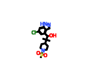 CC(C)(C1CCN(S(C)(=O)=O)CC1)C(O)c1cc(Cl)cc2[nH]ncc12